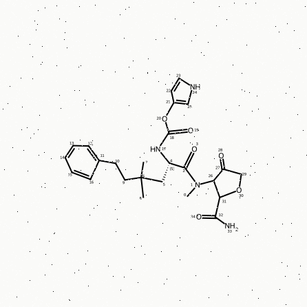 CN(C(=O)[C@H](CC(C)(C)CCc1ccccc1)NC(=O)Oc1cc[nH]c1)C1C(=O)COC1C(N)=O